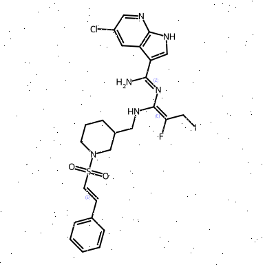 N/C(=N\C(NCC1CCCN(S(=O)(=O)/C=C/c2ccccc2)C1)=C(\F)CI)c1c[nH]c2ncc(Cl)cc12